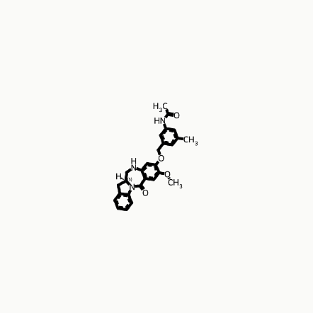 COc1cc2c(cc1OCc1cc(C)cc(NC(C)=O)c1)NC[C@@H]1Cc3ccccc3N1C2=O